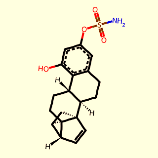 C[C@]12CC[C@@H]3c4c(O)cc(OS(N)(=O)=O)cc4CC[C@H]3[C@@]13C=C[C@@H]2CC3